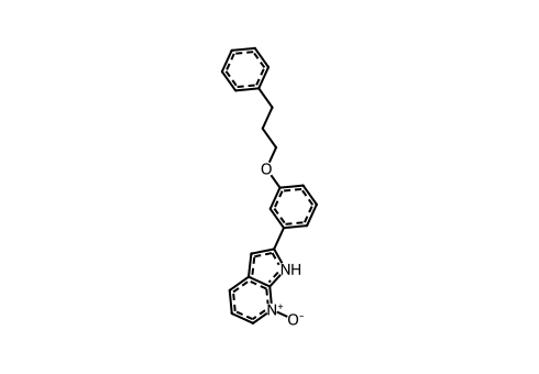 [O-][n+]1cccc2cc(-c3cccc(OCCCc4ccccc4)c3)[nH]c21